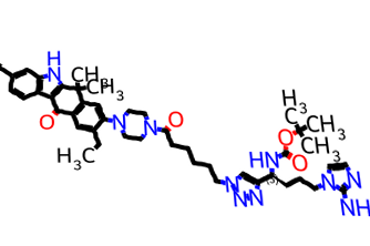 CCc1cc2c(cc1N1CCN(C(=O)CCCCCn3cc([C@H](CCCn4ccnc4N)NC(=O)OC(C)(C)C)nn3)CC1)C(C)(C)c1[nH]c3cc(C#N)ccc3c1C2=O